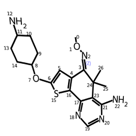 CO/N=C1\c2cc(OC3CCC(N)CC3)sc2-c2ncnc(N)c2C1(C)C